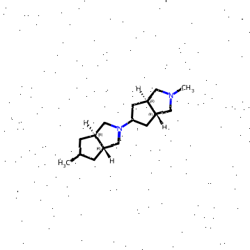 CC1C[C@H]2CN(C3C[C@H]4CN(C)C[C@@H]4C3)C[C@@H]2C1